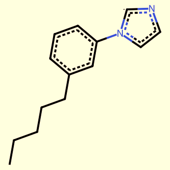 CCCCCc1cccc(-n2[c]ncc2)c1